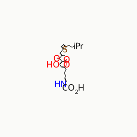 C/C(=C\c1ccc(CCC(C)C)s1)C(=O)c1c(O)cc(CCC/C=C/NC(=O)O)oc1=O